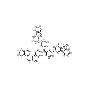 CC1C=Cc2c(ccc3ccccc23)C1c1ccc(N(c2cccc(-c3ccc4c(c3)-c3ccccc3C4(C)C)c2)c2cccc(-c3cccc4c3oc3ccccc34)c2)cc1